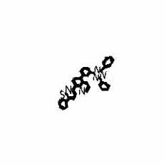 c1ccc(-c2nc(-c3ccccc3)nc(-c3cccc(-c4ccc(-c5ccc6c(n5)sc5ccccc56)c5ncccc45)c3)n2)cc1